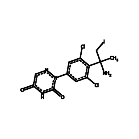 CC(N)(CI)c1c(Cl)cc(-n2ncc(=O)[nH]c2=O)cc1Cl